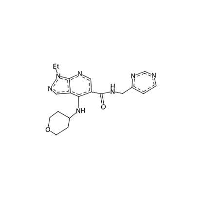 CCn1ncc2c(NC3CCOCC3)c(C(=O)NCc3ccncn3)cnc21